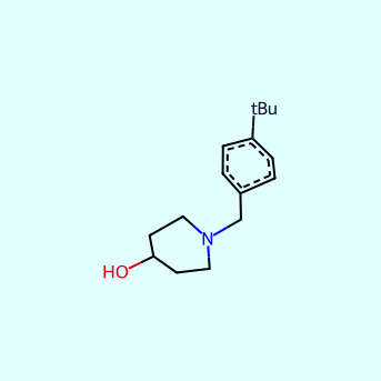 CC(C)(C)c1ccc(CN2CCC(O)CC2)cc1